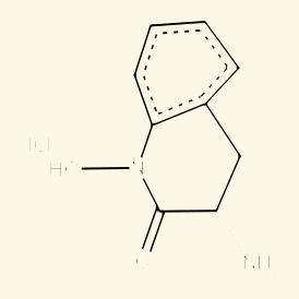 Cl.N[C@H]1Cc2ccccc2N(O)C1=O